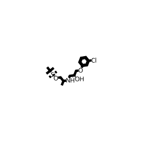 CC(CO[Si](C)(C)C(C)(C)C)NC[C@@H](O)COc1cccc(Cl)c1